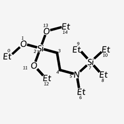 CCO[Si](CCN(CC)[Si](CC)(CC)CC)(OCC)OCC